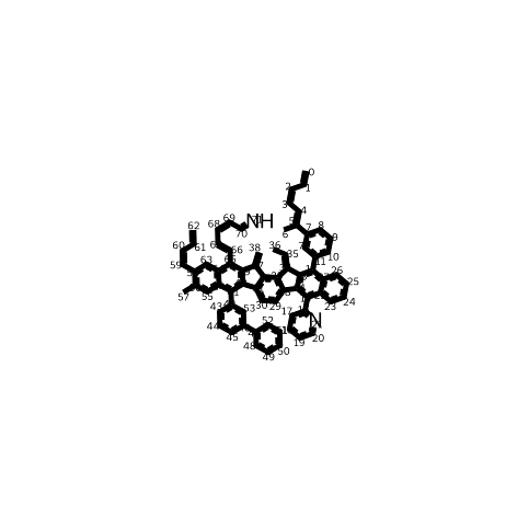 C=C/C=C\C=C(/C)c1cccc(-c2c3c(c(-c4ccccn4)c4ccccc24)-c2ccc4c(c2/C3=C\C)C(=C)c2c-4c(-c3cccc(-c4ccccc4)c3)c3cc(C)c(/C=C\C=C)cc3c2/C=C/C=C\C=N)c1